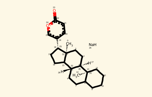 C[C@]12CC[C@@H]3[C@H](CCC4CCCC[C@@]43C)C1CC[C@@H]2c1ccc(=O)oc1.[NaH]